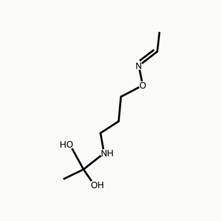 C/C=N/OCCCNC(C)(O)O